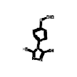 O=COc1ccc(-n2c(S)nnc2S)cc1